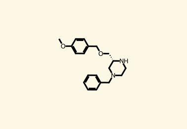 COc1ccc(COC[C@H]2CN(Cc3ccccc3)CCN2)cc1